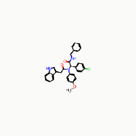 COc1ccc(N(C(=O)Cc2c[nH]c3ccccc23)C(C(=O)NCc2ccccc2)c2ccc(Cl)cc2)cc1